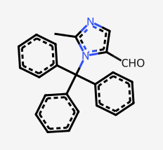 Cc1ncc(C=O)n1C(c1ccccc1)(c1ccccc1)c1ccccc1